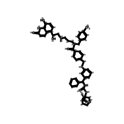 O=C(NC(c1ccccc1)c1cccc(OCc2ccc(C(=O)N(CCCNC[C@@H](O)c3ccc(O)c4[nH]c(=O)ccc34)Cc3ccc(C(F)(F)F)cc3)cc2)c1)O[C@H]1CN2CCC1CC2